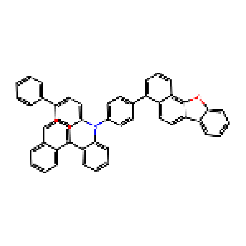 c1ccc(-c2ccc(N(c3ccc(-c4cccc5c4ccc4c6ccccc6oc54)cc3)c3ccccc3-c3cccc4ccccc34)cc2)cc1